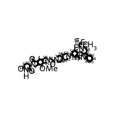 COc1c2c(cc3c1CN(C1CCC(=O)NC1=O)C3=O)CN(CC(=O)N1CCC3(CC1)CCN(c1cc(F)c([C@@H]4c5[nH]c6ccccc6c5C[C@@H](C)N4CC(F)F)c(F)c1)CC3)C2